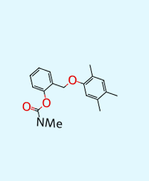 CNC(=O)Oc1ccccc1COc1cc(C)c(C)cc1C